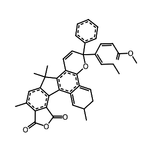 C=C(/C=C\C(=C/CC)C1(c2ccccc2)C=Cc2c3c(c4c(c2O1)=CCC(C)C=4)-c1c(cc(C)c2c1C(=O)OC2=O)C3(C)C)OC